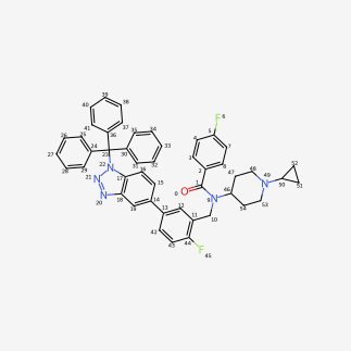 O=C(c1ccc(F)cc1)N(Cc1cc(-c2ccc3c(c2)nnn3C(c2ccccc2)(c2ccccc2)c2ccccc2)ccc1F)C1CCN(C2CC2)CC1